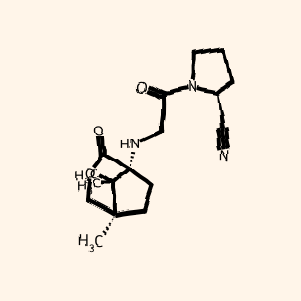 CC1(C)[C@@]2(C)CC[C@]1(NCC(=O)N1CCC[C@H]1C#N)C(=O)OC2